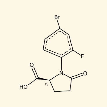 O=C(O)[C@@H]1CCC(=O)N1c1ccc(Br)cc1F